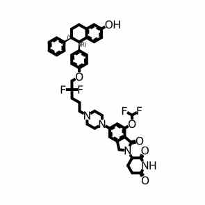 O=C1CCC(N2Cc3cc(N4CCN(CCCC(F)(F)COc5ccc([C@@H]6c7ccc(O)cc7CC[C@@H]6c6ccccc6)cc5)CC4)cc(OC(F)F)c3C2=O)C(=O)N1